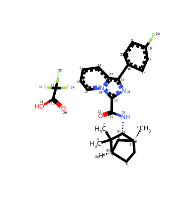 CC1(C)[C@@H]2CC[C@@](C)(C2)[C@H]1NC(=O)c1nc(-c2ccc(F)cc2)c2ccccn12.O=C(O)C(F)(F)F